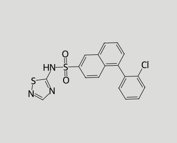 O=S(=O)(Nc1ncns1)c1ccc2c(-c3ccccc3Cl)cccc2c1